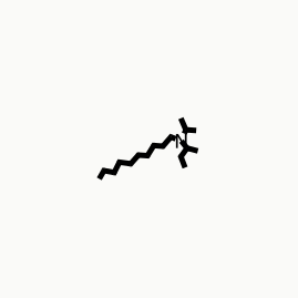 CCCCCCCCCCN(C(C)C)C(C)CC